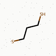 [S]CCCS